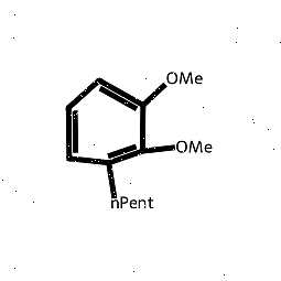 CCCCCc1cccc(OC)c1OC